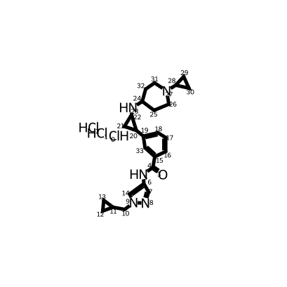 Cl.Cl.Cl.O=C(Nc1cnn(CC2CC2)c1)c1cccc(C2CC2NC2CCN(C3CC3)CC2)c1